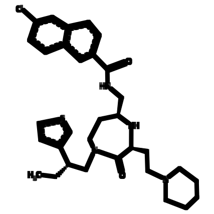 CC[C@@H](CN1CC[C@@H](CNC(=O)c2ccc3cc(Cl)ccc3c2)N[C@@H](CCN2CCCCC2)C1=O)c1ccsc1